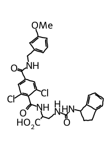 COc1cccc(CNC(=O)c2cc(Cl)c(C(=O)NC(CNC(=O)NC3CCc4ccccc43)C(=O)O)c(Cl)c2)c1